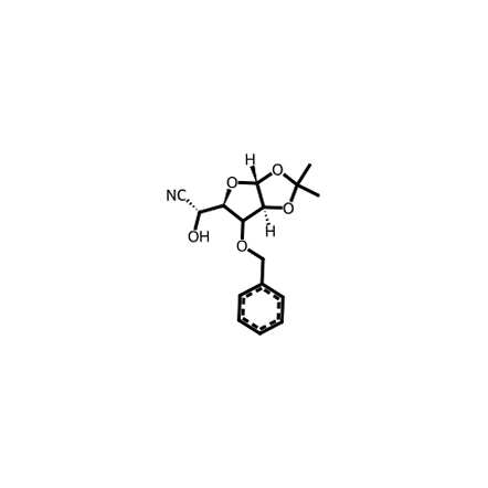 CC1(C)O[C@H]2O[C@H]([C@H](O)C#N)C(OCc3ccccc3)[C@@H]2O1